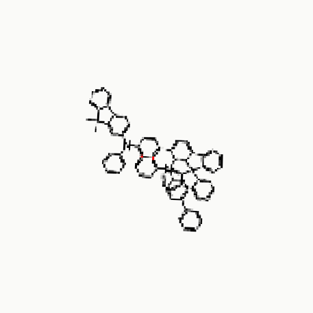 CC1(C)c2ccccc2-c2ccc(N(c3ccccc3)c3ccc(-c4ccc5c(c4N(c4ccccc4)c4ccc(-c6ccccc6)cc4)C4(c6ccccc6-c6ccccc64)c4ccccc4-5)cc3)cc21